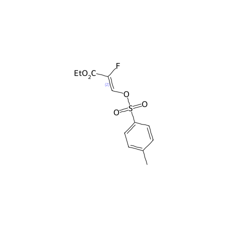 CCOC(=O)/C(F)=C/OS(=O)(=O)c1ccc(C)cc1